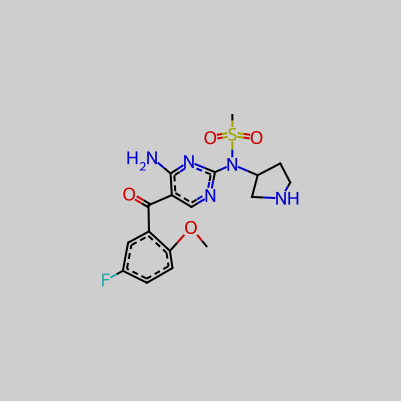 COc1ccc(F)cc1C(=O)c1cnc(N(C2CCNC2)S(C)(=O)=O)nc1N